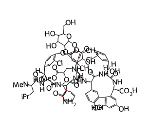 CN[C@H](CC(C)C)C(=O)NC1C(=O)NC(CC(N)=O)C(=O)N[C@H]2C(=O)NC3C(=O)N[C@H](C(=O)N[C@@H](C(=O)O)c4cc(O)cc(O)c4-c4cc3ccc4O)[C@H](O)c3ccc(c(Cl)c3)Oc3cc2cc(c3OC2OC(CO)C(O)C(O)C2OC2CC(C)(NCC(OCc3ccccc3)C(=O)OC)C(O)C(C)O2)Oc2ccc(cc2Cl)[C@H]1O